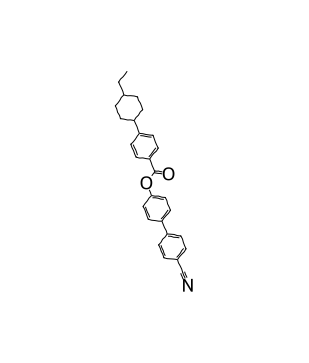 CCC1CCC(c2ccc(C(=O)Oc3ccc(-c4ccc(C#N)cc4)cc3)cc2)CC1